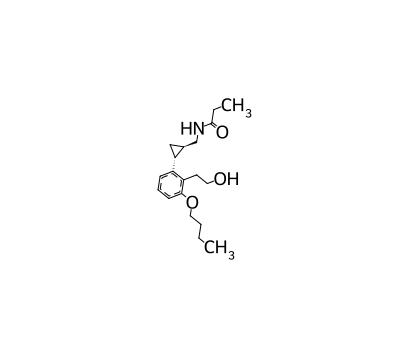 CCCCOc1cccc([C@@H]2C[C@H]2CNC(=O)CC)c1CCO